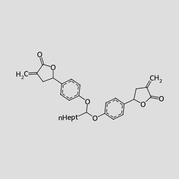 C=C1CC(c2ccc(OC(CCCCCCC)Oc3ccc(C4CC(=C)C(=O)O4)cc3)cc2)OC1=O